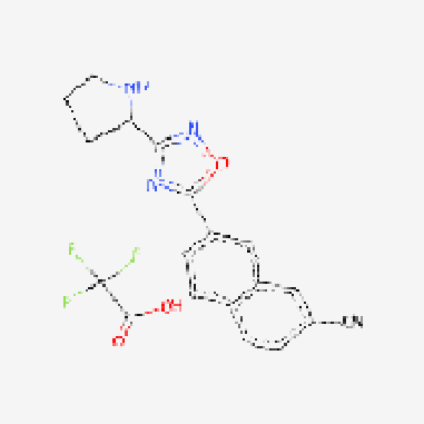 N#Cc1ccc2ccc(-c3nc(C4CCCN4)no3)cc2c1.O=C(O)C(F)(F)F